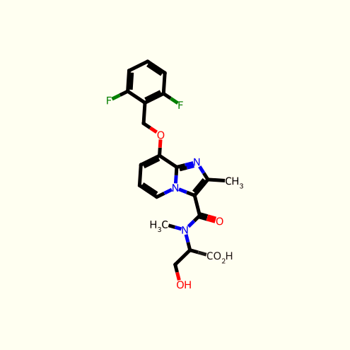 Cc1nc2c(OCc3c(F)cccc3F)cccn2c1C(=O)N(C)C(CO)C(=O)O